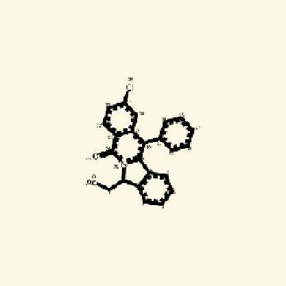 CC(=O)CC1c2ccccc2-c2c(-c3ccccc3)c3cc(Cl)ccc3c(=O)n21